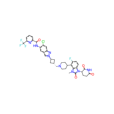 Cn1c(=O)n(C2CCC(=O)NC2=O)c2ccc(F)c(C3CCN(C[C@H]4C[C@H](n5cc6cc(NC(=O)c7cccc(C(F)(F)F)n7)c(Cl)cc6n5)C4)CC3)c21